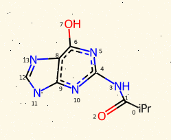 CC(C)C(=O)Nc1nc(O)c2c(n1)[N]C=N2